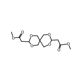 COC(=O)CC1OCC2(CO1)COC(CC(=O)OC)OC2